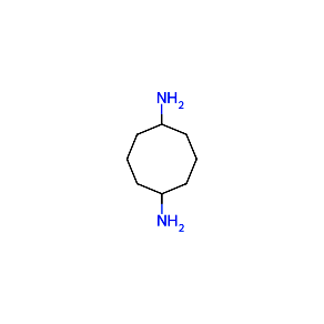 NC1CCCC(N)CCC1